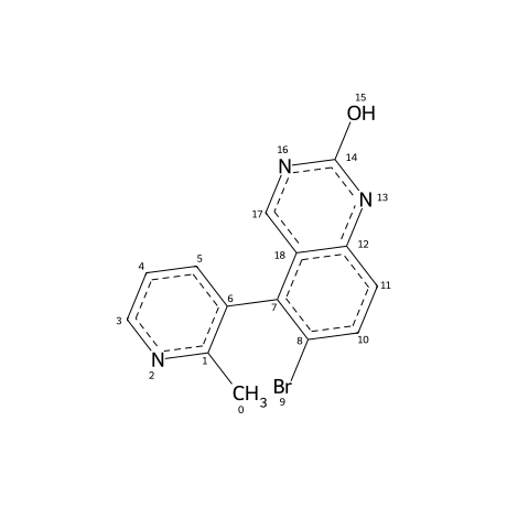 Cc1ncccc1-c1c(Br)ccc2nc(O)ncc12